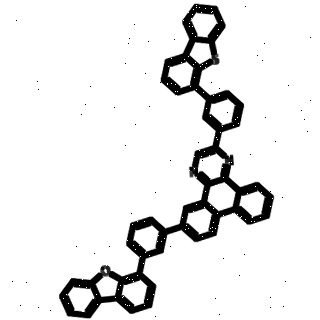 c1cc(-c2ccc3c4ccccc4c4nc(-c5cccc(-c6cccc7c6sc6ccccc67)c5)cnc4c3c2)cc(-c2cccc3c2oc2ccccc23)c1